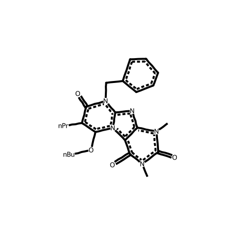 CCCCOc1c(CCC)c(=O)n(Cc2ccccc2)c2nc3c(c(=O)n(C)c(=O)n3C)n12